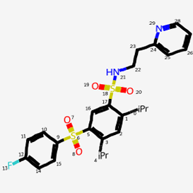 CC(C)c1cc(C(C)C)c(S(=O)(=O)c2ccc(F)cc2)cc1S(=O)(=O)NCCc1ccccn1